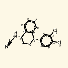 N#CN[C@H]1CC[C@@H](c2ccc(Cl)c(Cl)c2)c2ccccc21